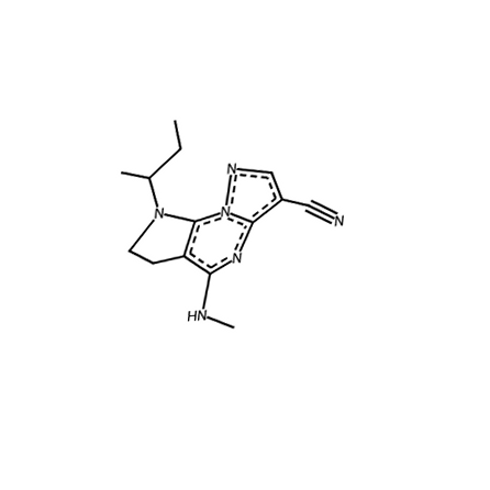 CCC(C)N1CCc2c(NC)nc3c(C#N)cnn3c21